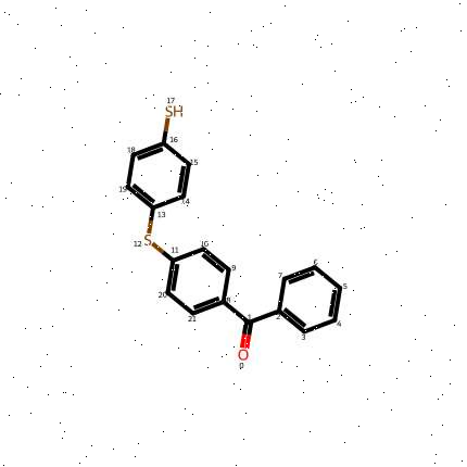 O=C(c1ccccc1)c1ccc(Sc2ccc(S)cc2)cc1